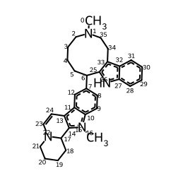 CN1CCCCC(c2ccc3c(c2)c2c(n3C)C3CCCCN3C=C2)c2[nH]c3ccccc3c2CC1